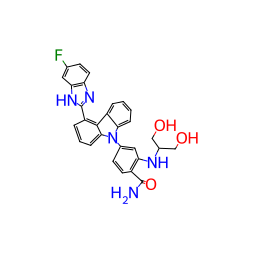 NC(=O)c1ccc(-n2c3ccccc3c3c(-c4nc5ccc(F)cc5[nH]4)cccc32)cc1NC(CO)CO